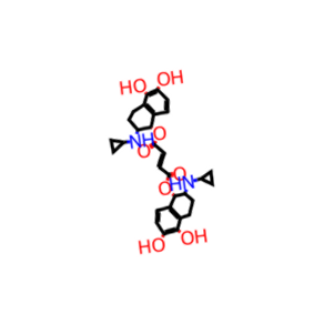 O=C(/C=C/C(=O)OC1c2ccc(O)c(O)c2CCC1NC1CC1)OC1c2ccc(O)c(O)c2CCC1NC1CC1